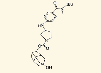 CN(C(=O)c1ccc(NC2CCN(C(=O)OC3C4CC5CC3CC(O)(C5)C4)C2)nc1)C(C)(C)C